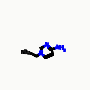 CCCCCN1[CH]N=C(N)C=C1